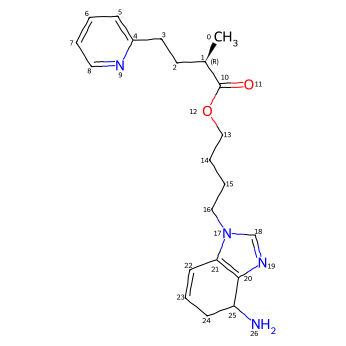 C[C@H](CCc1ccccn1)C(=O)OCCCCn1cnc2c1C=CCC2N